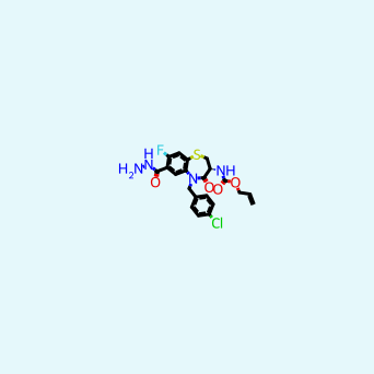 C=CCOC(=O)N[C@H]1CSc2cc(F)c(C(=O)NN)cc2N(Cc2ccc(Cl)cc2)C1=O